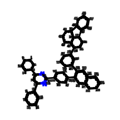 c1ccc(-c2cc(-c3ccccc3)nc(-c3ccc(-c4cc5ccccc5cc4-c4cccc(-c5ccc6c7c(cccc57)-c5ccccc5-6)c4)cc3)n2)cc1